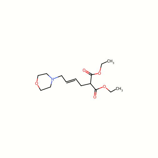 CCOC(=O)C(CC=CCN1CCOCC1)C(=O)OCC